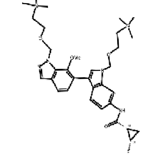 COc1c(-c2cn(COCC[Si](C)(C)C)c3nc(NC(=O)[C@@H]4C[C@@H]4F)ccc23)ccc2cnn(COCC[Si](C)(C)C)c12